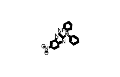 Nc1nc2cc([N+](=O)[O-])ccc2nc1N(c1ccccc1)c1ccccc1